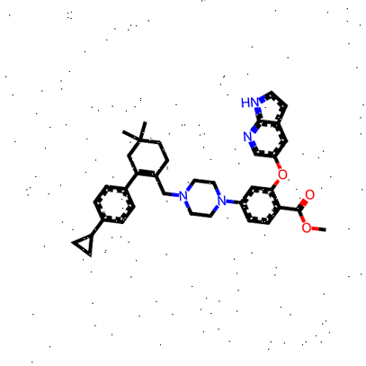 COC(=O)c1ccc(N2CCN(CC3=C(c4ccc(C5CC5)cc4)CC(C)(C)CC3)CC2)cc1Oc1cnc2[nH]ccc2c1